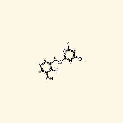 Cc1cc(O)nc(SCc2cccc(O)c2Cl)n1